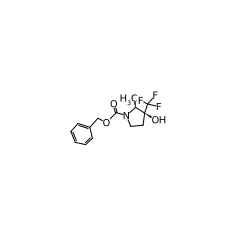 C[C@@H]1N(C(=O)OCc2ccccc2)CC[C@@]1(O)C(F)(F)F